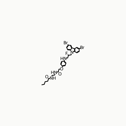 CCCCC(=O)NCCNC(=O)COc1ccc(NCC(F)Cn2c3ccc(Br)cc3c3cc(Br)ccc32)cc1